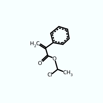 C=C(C(=O)OC(C)Cl)c1ccccc1